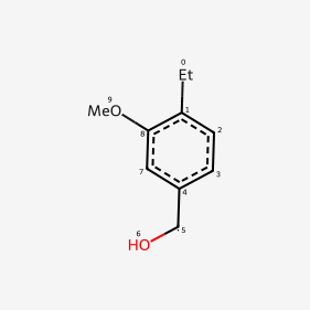 CCc1ccc([CH]O)cc1OC